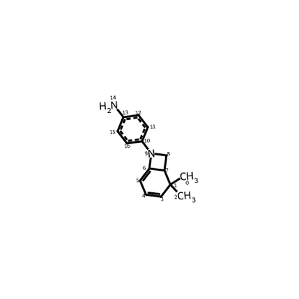 CC1(C)C=CC=C2C1CN2c1ccc(N)cc1